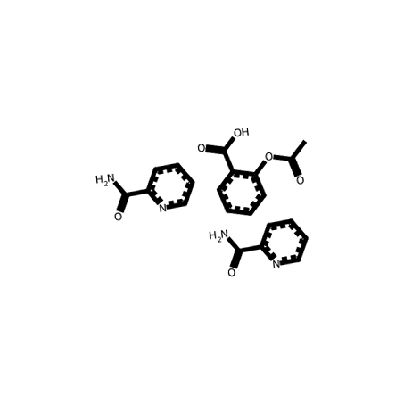 CC(=O)Oc1ccccc1C(=O)O.NC(=O)c1ccccn1.NC(=O)c1ccccn1